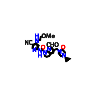 COCCNc1cc(NC(=O)N2CCCc3cc(CN4CCN(C5CC5)CC4=O)c(C=O)nc32)ncc1C#N